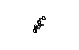 O=C(N[C@@H]1CN2CCC1CC2)c1n[nH]c2cc(OC3CCOC3)ccc12